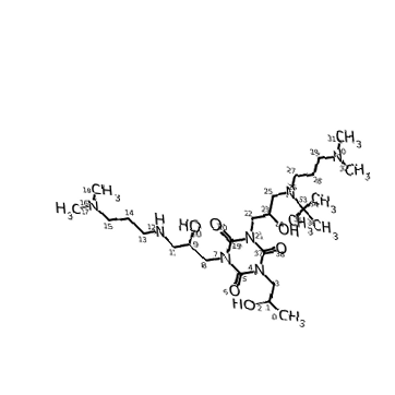 CC(O)Cn1c(=O)n(CC(O)CNCCCN(C)C)c(=O)n(CC(O)CN(CCCN(C)C)C(C)(C)C)c1=O